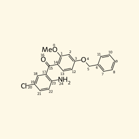 COc1cc(OCc2ccccc2)ccc1C(=O)c1cc(Cl)ccc1N